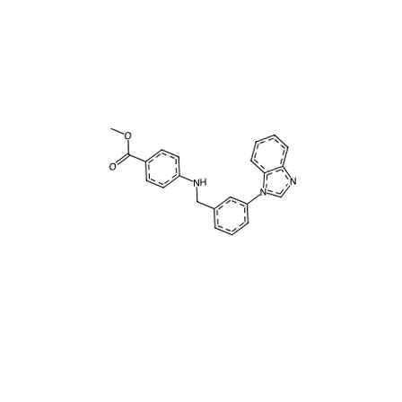 COC(=O)c1ccc(NCc2cccc(-n3cnc4ccccc43)c2)cc1